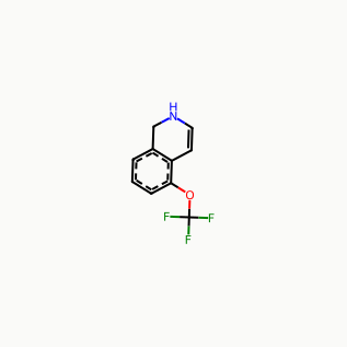 FC(F)(F)Oc1cccc2c1C=CNC2